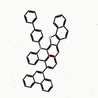 c1ccc(-c2ccc(N(c3ccccc3-c3ccccc3-c3cc4ccccc4c4ccccc34)c3cccc4c3oc3c5ccccc5ccc43)cc2)cc1